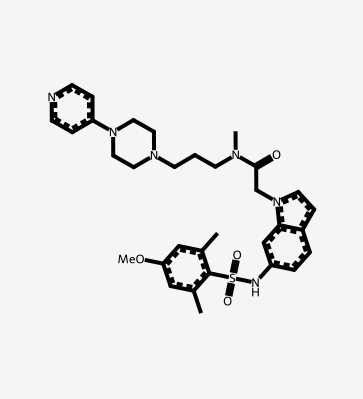 COc1cc(C)c(S(=O)(=O)Nc2ccc3ccn(CC(=O)N(C)CCCN4CCN(c5ccncc5)CC4)c3c2)c(C)c1